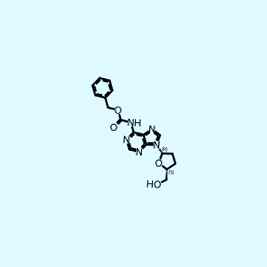 O=C(Nc1ncnc2c1ncn2[C@H]1CC[C@@H](CO)O1)OCc1ccccc1